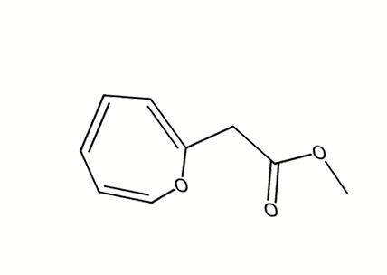 COC(=O)CC1=CC=CC=CO1